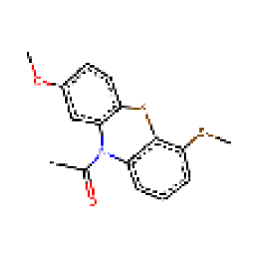 COc1ccc2c(c1)N(C(C)=O)c1cccc(SC)c1S2